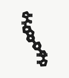 O=C(Nc1ccc2c(c1)Cc1cc(-c3ccc(-c4cnc(C5CCCN5)[nH]4)cc3)ccc1-2)C1CCCN1